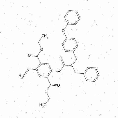 C=Cc1cc(C(=O)OCC)c(CC(=O)N(Cc2ccccc2)Cc2ccc(Oc3ccccc3)cc2)cc1C(=O)OCC